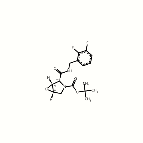 CC(C)(C)OC(=O)N1C[C@@H]2O[C@@H]2[C@H]1C(=O)NCc1cccc(Cl)c1F